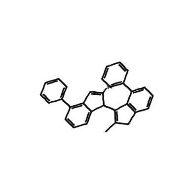 CC1=C(C2C(C(C)C)=Cc3c(-c4ccccc4)cccc32)c2c(cccc2-c2ccccc2)[CH]1